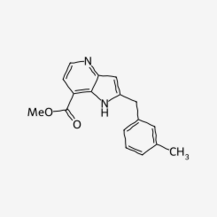 COC(=O)c1ccnc2cc(Cc3cccc(C)c3)[nH]c12